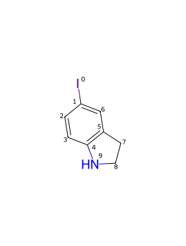 Ic1ccc2c(c1)CCN2